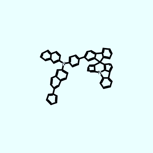 c1ccc(-c2ccc3cc(N(c4ccc(-c5ccc6c(c5)C5(c7ccccc7-6)c6ccccc6-n6c7ccccc7c7cccc5c76)cc4)c4ccc5ccccc5c4)ccc3c2)cc1